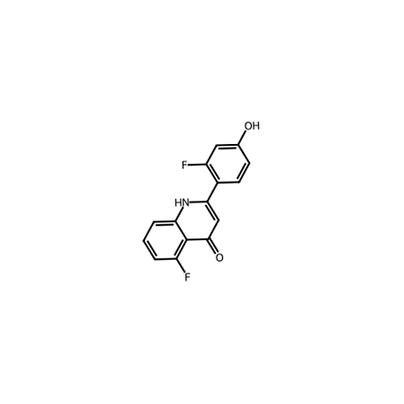 O=c1cc(-c2ccc(O)cc2F)[nH]c2cccc(F)c12